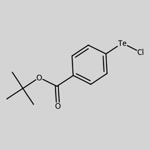 CC(C)(C)OC(=O)c1ccc([Te]Cl)cc1